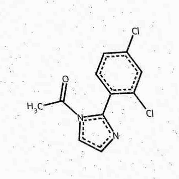 CC(=O)n1ccnc1-c1ccc(Cl)cc1Cl